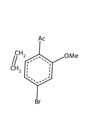 C=C.COc1cc(Br)ccc1C(C)=O